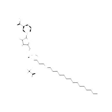 CCCCCCCCCCCCCCCOCCCOP(=O)(OC)OCC1OC([n+]2cccc(C(N)=O)c2)C(O)C1O.O=C([O-])C(F)(F)F